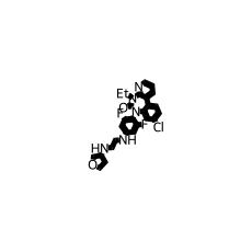 CCN1C(=O)N(c2c(F)cc(NCCNC3CCOC3)cc2F)c2cc(Cl)ccc2-c2cccnc21